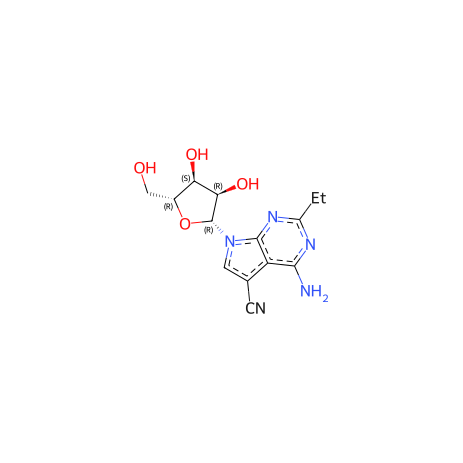 CCc1nc(N)c2c(C#N)cn([C@@H]3O[C@H](CO)[C@@H](O)[C@H]3O)c2n1